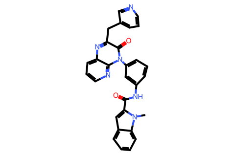 Cn1c(C(=O)Nc2cccc(-n3c(=O)c(Cc4cccnc4)nc4cccnc43)c2)cc2ccccc21